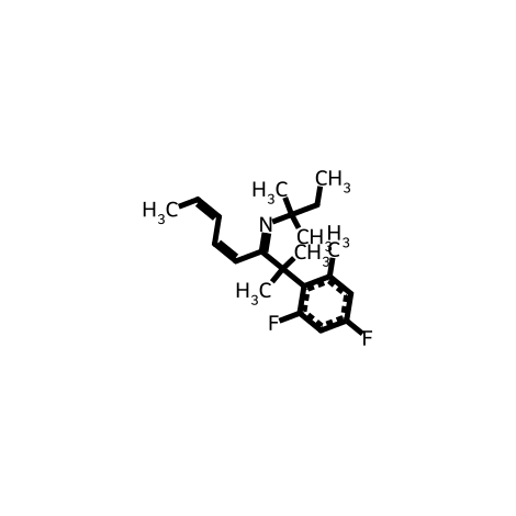 C\C=C/C=C\C(=N\C(C)(C)CC)C(C)(C)c1c(C)cc(F)cc1F